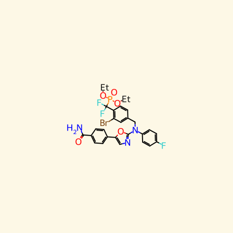 CCOP(=O)(OCC)C(F)(F)c1ccc(CN(c2ccc(F)cc2)c2ncc(-c3ccc(C(N)=O)cc3)o2)cc1Br